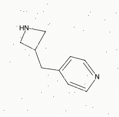 c1cc(CC2CNC2)ccn1